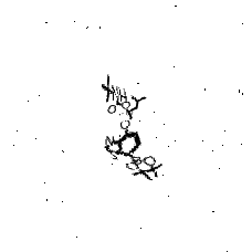 CC(C)C[C@@](C)(COc1ccc(B2OC(C)(C)C(C)(C)O2)c2scnc12)OC(=O)NC(C)(C)C